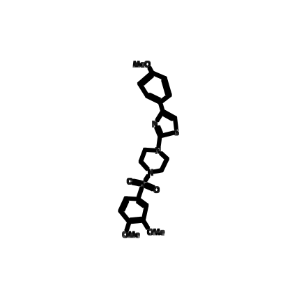 COc1ccc(-c2csc(N3CCN(S(=O)(=O)c4ccc(OC)c(OC)c4)CC3)n2)cc1